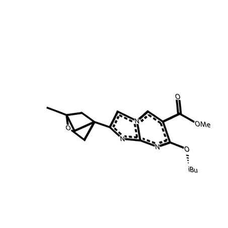 CC[C@@H](C)Oc1nc2nc(C34COC(C)(C3)C4)cn2cc1C(=O)OC